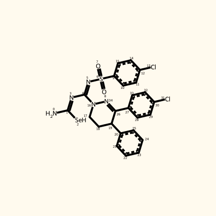 N/C([SeH])=N/C(=N/S(=O)(=O)c1ccc(Cl)cc1)N1CCC(c2ccccc2)C(c2ccc(Cl)cc2)=N1